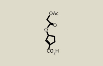 CC(=O)OCC(=O)OC1C=C(C(=O)O)CC1